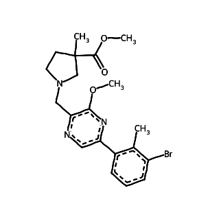 COC(=O)C1(C)CCN(Cc2ncc(-c3cccc(Br)c3C)nc2OC)C1